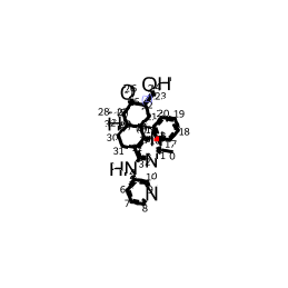 Cc1nc(Nc2cccnc2)c2c(n1)[C@@]1(c3ccccc3)C/C(=C/O)C(=O)[C@@H](C)[C@@H]1CC2